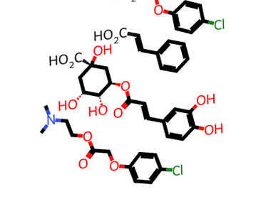 CN(C)CCOC(=O)COc1ccc(Cl)cc1.O=C(/C=C/c1ccc(O)c(O)c1)O[C@@H]1C[C@](O)(C(=O)O)C[C@@H](O)[C@H]1O.O=C(O)/C=C/c1ccccc1.O=C(O)COc1ccc(Cl)cc1